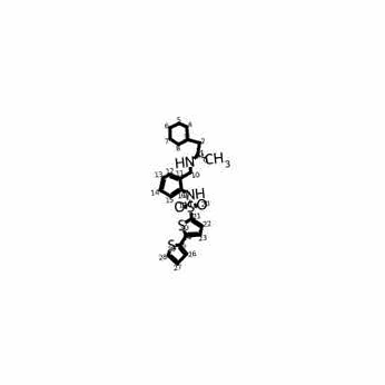 C[C@@H](CC1CCCCC1)NCc1ccccc1NS(=O)(=O)c1ccc(-c2cccs2)s1